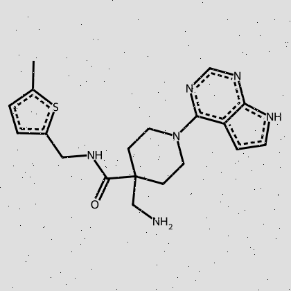 Cc1ccc(CNC(=O)C2(CN)CCN(c3ncnc4[nH]ccc34)CC2)s1